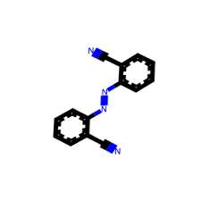 N#Cc1ccccc1N=Nc1ccccc1C#N